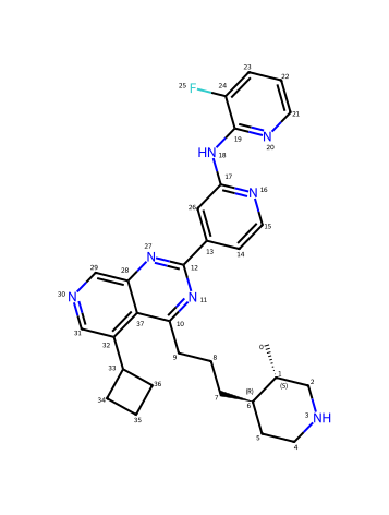 C[C@@H]1CNCC[C@H]1CCCc1nc(-c2ccnc(Nc3ncccc3F)c2)nc2cncc(C3CCC3)c12